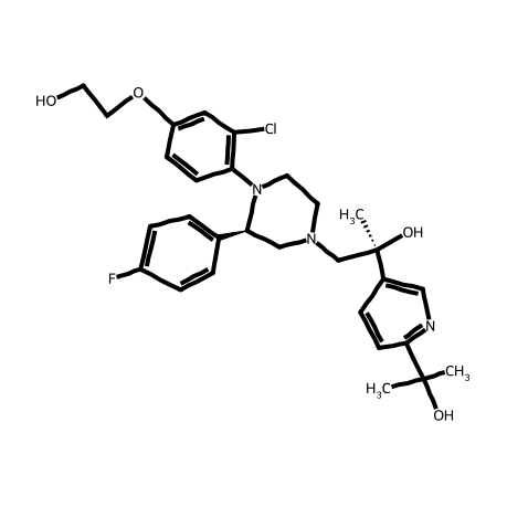 CC(C)(O)c1ccc([C@](C)(O)CN2CCN(c3ccc(OCCO)cc3Cl)[C@H](c3ccc(F)cc3)C2)cn1